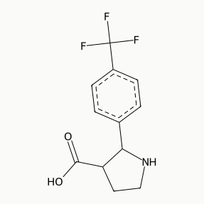 O=C(O)C1CCNC1c1ccc(C(F)(F)F)cc1